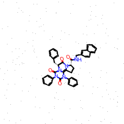 O=C(NCc1ccc2ccccc2c1)[C@@H]1CCC2=C3N(c4ccccc4)C(=O)N(c4ccccc4)C(=O)N3[C@H](Cc3ccccc3)C(=O)N21